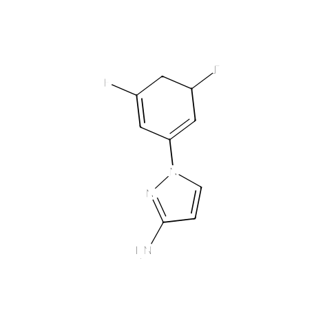 Nc1ccn(C2=CC(F)CC(F)=C2)n1